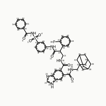 O=C(NS(=O)(=O)c1cccc(NC(=O)C(CNC(=O)c2cc3nc[nH]c3cc2C(=O)NCC23CC4CC(CC(C4)C2)C3)c2ccccc2F)c1)c1ccccc1